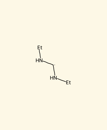 CCN[CH]NCC